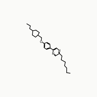 CCCCCCCc1cnc(-c2ccc(OCC3CCC(CCC)CC3)cc2)cn1